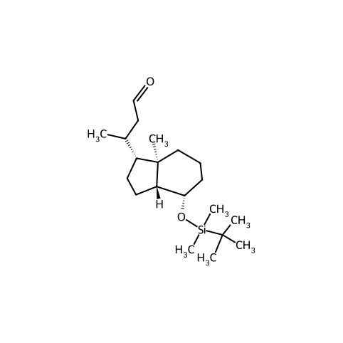 CC(CC=O)[C@H]1CC[C@H]2[C@@H](O[Si](C)(C)C(C)(C)C)CCC[C@]12C